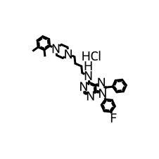 Cc1cccc(N2CCN(CCCCNc3ncnc4c3nc(-c3ccccc3)n4-c3ccc(F)cc3)CC2)c1C.Cl